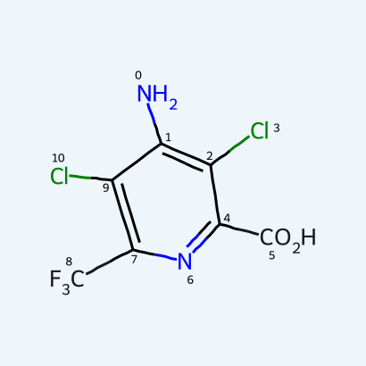 Nc1c(Cl)c(C(=O)O)nc(C(F)(F)F)c1Cl